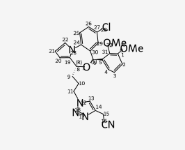 COc1cccc([C@H]2O[C@H](CCCn3cc(CC#N)nn3)c3cccn3-c3ccc(Cl)cc32)c1OC